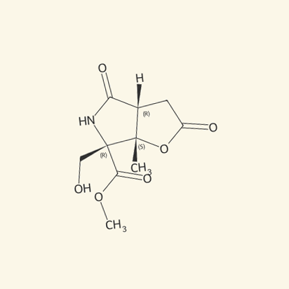 COC(=O)[C@]1(CO)NC(=O)[C@@H]2CC(=O)O[C@@]21C